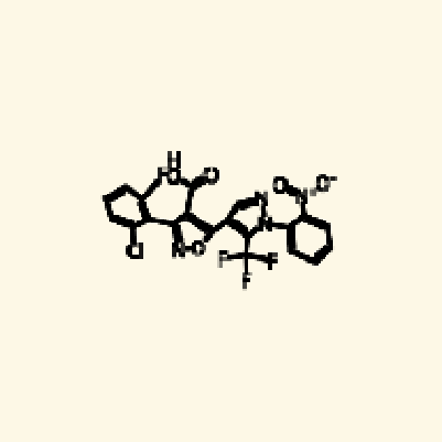 O=C(O)c1c(-c2c(F)cccc2Cl)noc1-c1cnn(-c2ccccc2[N+](=O)[O-])c1C(F)(F)F